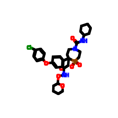 O=C(CC1(c2ccc(Oc3ccc(Cl)cc3)cc2)CCN(C(=O)NC2CCCCC2)CCS1(=O)=O)NOC1CCCCO1